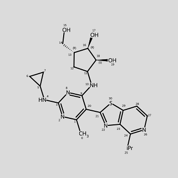 Cc1nc(NC2CC2)nc(NC2C[C@H](CO)[C@@H](O)[C@H]2O)c1-c1nc2c(C(C)C)nccc2s1